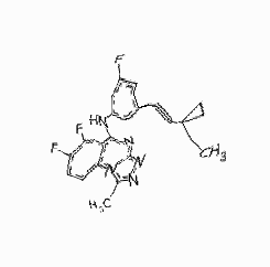 CCC1(C#Cc2cc(F)cc(Nc3nc4nnc(C)n4c4ccc(F)c(F)c34)c2)CC1